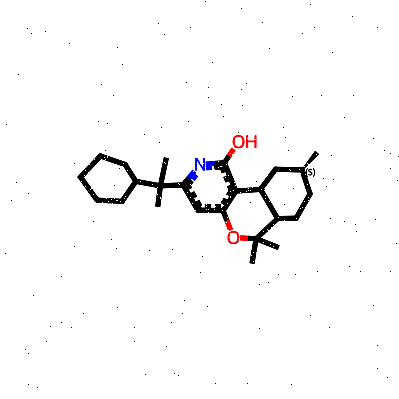 C[C@H]1CCC2C(C1)c1c(cc(C(C)(C)C3CCCCC3)nc1O)OC2(C)C